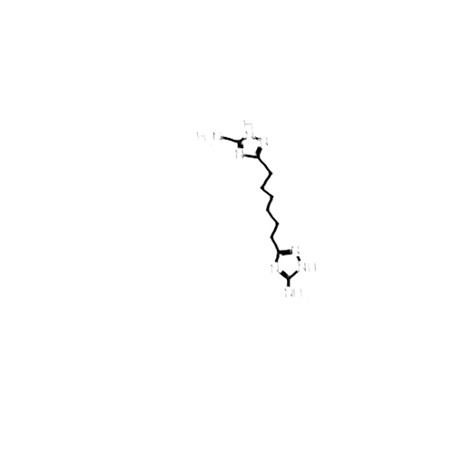 Nc1nc(CCCCCCc2n[nH]c(N)n2)n[nH]1